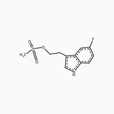 CS(=O)(=O)OCCc1c[nH]c2ccc(F)cc12